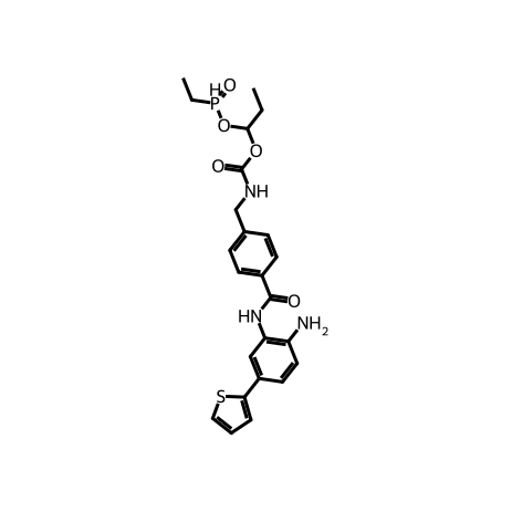 CCC(OC(=O)NCc1ccc(C(=O)Nc2cc(-c3cccs3)ccc2N)cc1)O[PH](=O)CC